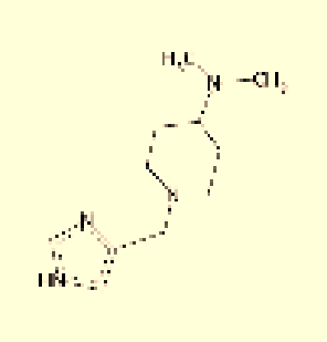 CN(C)C1CCN(Cc2c[nH]cn2)CC1